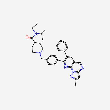 CCN(C(=O)C1CCN(Cc2ccc(-c3nc4c(cnc5cc(C)nn54)cc3-c3ccccc3)cc2)CC1)C(C)C